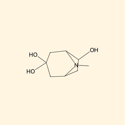 CN1C2CC(O)C1CC(O)(O)C2